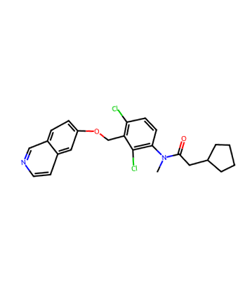 CN(C(=O)CC1CCCC1)c1ccc(Cl)c(COc2ccc3cnccc3c2)c1Cl